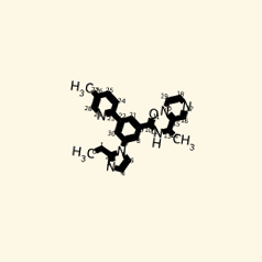 CCc1nccn1-c1cc(C(=O)NC(C)c2cnccn2)cc(-c2ccc(C)cn2)c1